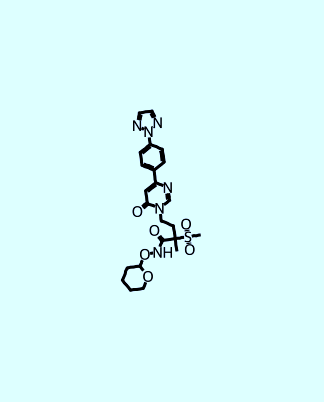 CC(CCn1cnc(-c2ccc(-n3nccn3)cc2)cc1=O)(C(=O)NOC1CCCCO1)S(C)(=O)=O